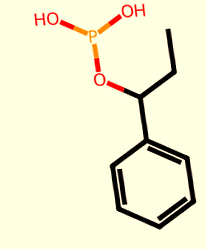 CCC(OP(O)O)c1ccccc1